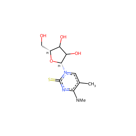 CNc1nc(=S)n([C@@H]2O[C@H](CO)C(O)C2O)cc1C